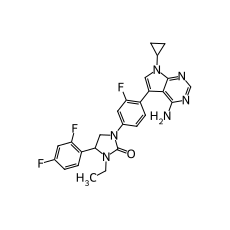 CCN1C(=O)N(c2ccc(-c3cn(C4CC4)c4ncnc(N)c34)c(F)c2)CC1c1ccc(F)cc1F